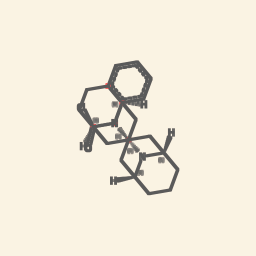 O=C(Cl)N(c1ccccc1)[C@H]1C[C@H]2CCC[C@@H](C1)N2[C@H]1C[C@@H]2CCC[C@@H](C2)C1